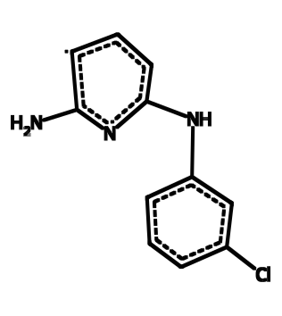 Nc1[c]ccc(Nc2cccc(Cl)c2)n1